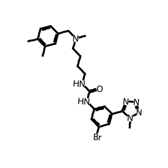 Cc1ccc(CN(C)CCCCNC(=O)Nc2cc(Br)cc(-c3nnnn3C)c2)cc1C